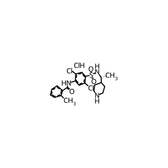 Cc1ccccc1C(=O)Nc1cc(Cl)c(S(=O)(=O)N[C@H](C)C2CCNCC2)cc1Cl.Cl